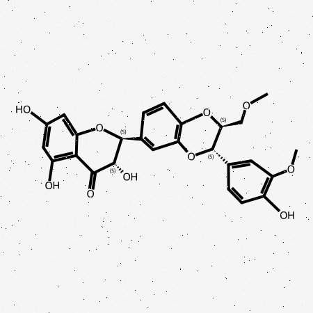 COC[C@@H]1Oc2ccc([C@@H]3Oc4cc(O)cc(O)c4C(=O)[C@H]3O)cc2O[C@H]1c1ccc(O)c(OC)c1